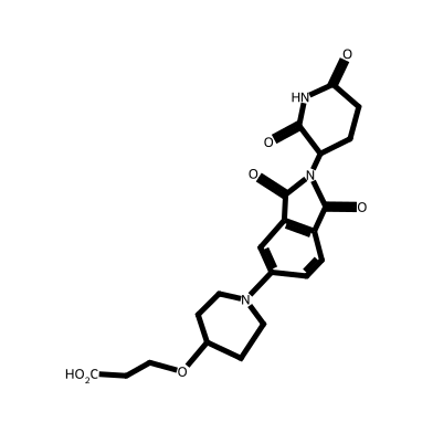 O=C(O)CCOC1CCN(c2ccc3c(c2)C(=O)N(C2CCC(=O)NC2=O)C3=O)CC1